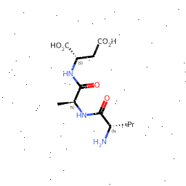 CC(C)[C@H](N)C(=O)N[C@@H](C)C(=O)N[C@@H](CC(=O)O)C(=O)O